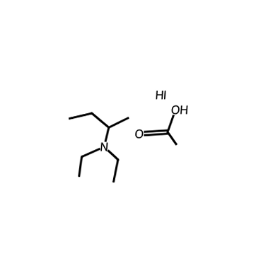 CC(=O)O.CCC(C)N(CC)CC.I